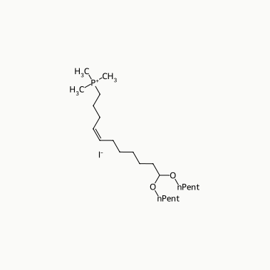 CCCCCOC(CCCCC/C=C\CCC[P+](C)(C)C)OCCCCC.[I-]